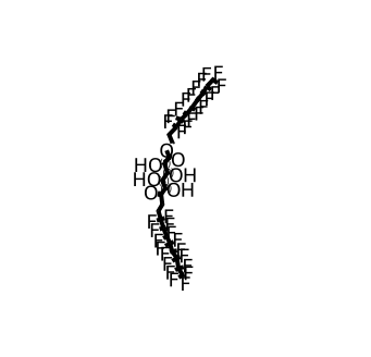 O=C(OCCC(F)(F)C(F)(F)C(F)(F)C(F)(F)C(F)(F)C(F)(F)C(F)(F)C(F)(F)F)[C@@H](O)[C@H](O)[C@H](O)[C@@H](O)C(=O)CCC(F)(F)C(F)(F)C(F)(F)C(F)(F)C(F)(F)C(F)(F)C(F)(F)C(F)(F)F